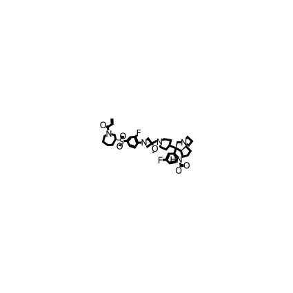 C=CC(=O)N1CCCC[C@@H](S(=O)(=O)c2ccc(N3CC(CN4CCC([C@@](CN5CCC5)(c5cccc(F)c5)[C@H]5CCC[C@@H]5NC(=O)OC)CC4)(OC)C3)c(F)c2)C1